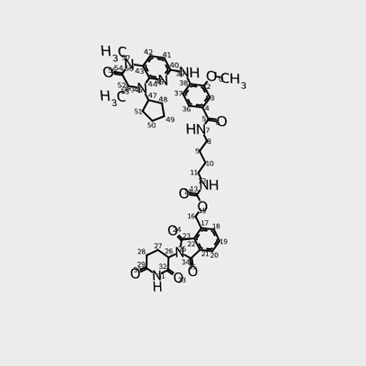 COc1cc(C(=O)NCCCCNC(=O)OCc2cccc3c2C(=O)N(C2CCC(=O)NC2=O)C3=O)ccc1Nc1ccc2c(n1)N(C1CCCC1)[C@H](C)C(=O)N2C